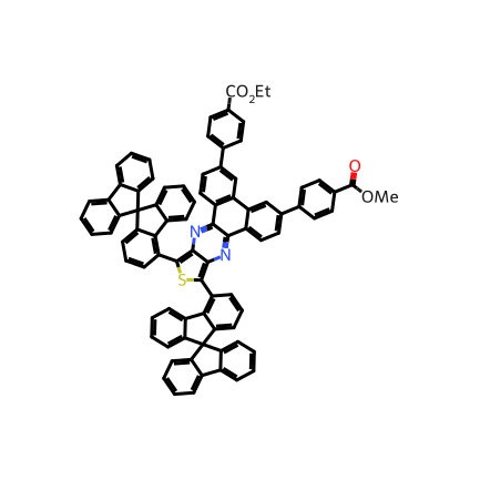 CCOC(=O)c1ccc(-c2ccc3c(c2)c2cc(-c4ccc(C(=O)OC)cc4)ccc2c2nc4c(-c5cccc6c5-c5ccccc5C65c6ccccc6-c6ccccc65)sc(-c5cccc6c5-c5ccccc5C65c6ccccc6-c6ccccc65)c4nc32)cc1